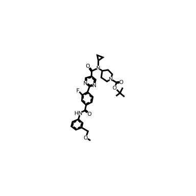 COCc1cccc(NC(=O)c2ccc(-c3ncc(C(=O)N(C4CC4)C4CCN(C(=O)OC(C)(C)C)CC4)cn3)c(F)c2)c1